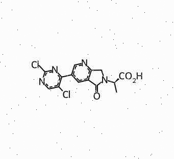 C[C@H](C(=O)O)N1Cc2ncc(-c3nc(Cl)ncc3Cl)cc2C1=O